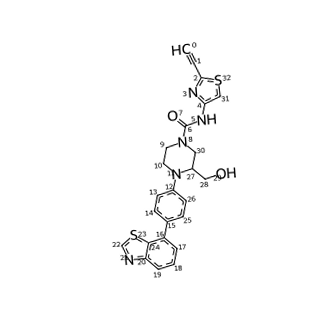 C#Cc1nc(NC(=O)N2CCN(c3ccc(-c4cccc5ncsc45)cc3)C(CO)C2)cs1